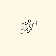 CC1(C)CCc2sc(NC(=O)C3CCCCC3)c(C(=O)O)c2C1